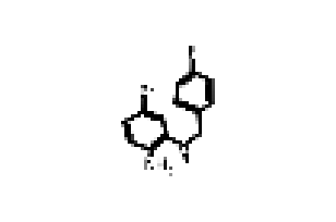 CN(Cc1ccc(F)cc1)c1cc(Br)ccc1N